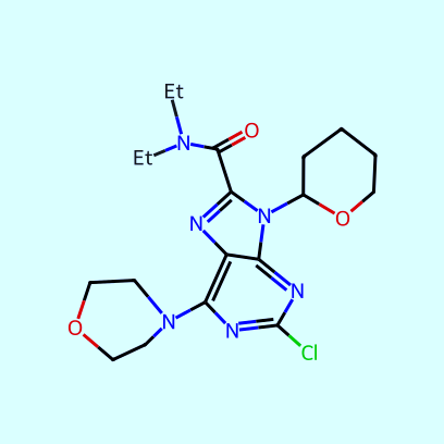 CCN(CC)C(=O)c1nc2c(N3CCOCC3)nc(Cl)nc2n1C1CCCCO1